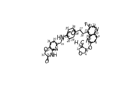 C[C@@H]1COC[C@H]1Oc1ccc2ncc(F)c(CCC34CCC(NCc5ccc6c(n5)NC(=O)CO6)(CC3)CO4)c2n1